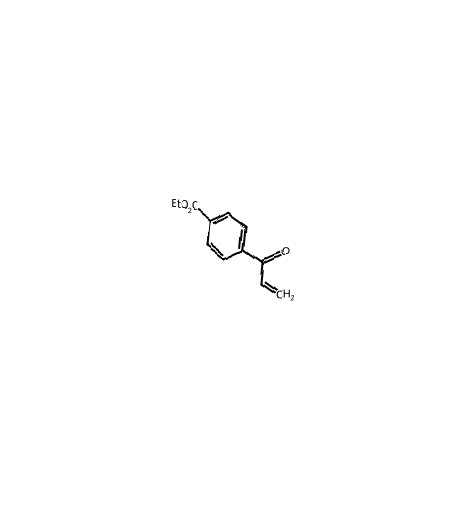 C=CC(=O)c1ccc(C(=O)OCC)cc1